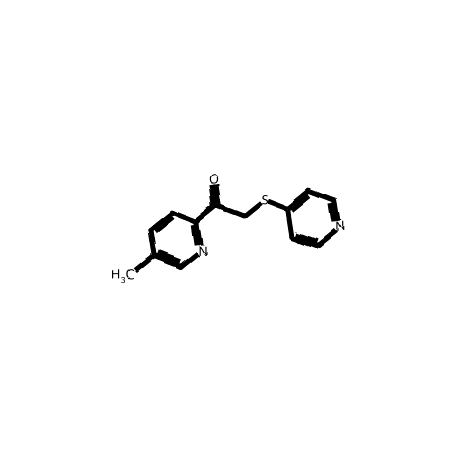 Cc1ccc(C(=O)CSc2ccncc2)nc1